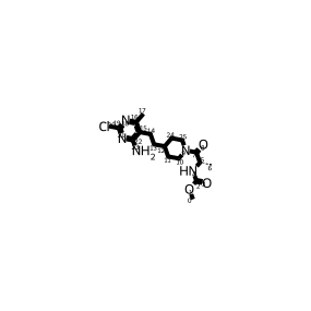 COC(=O)N[C@@H](C)C(=O)N1CCC(CCc2c(C)nc(Cl)nc2N)CC1